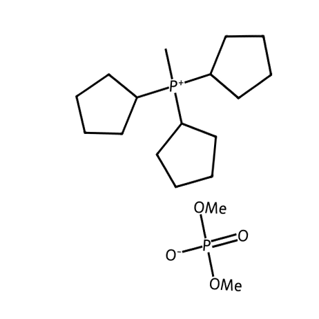 COP(=O)([O-])OC.C[P+](C1CCCC1)(C1CCCC1)C1CCCC1